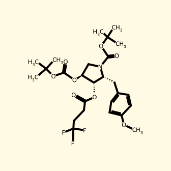 COc1ccc(C[C@@H]2[C@H](OC(=O)CCC(F)(F)F)[C@@H](OC(=O)OC(C)(C)C)CN2C(=O)OC(C)(C)C)cc1